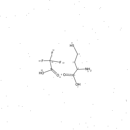 NC(CCS)C(=O)O.O=C(O)C(F)(F)F